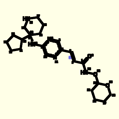 O=C(/C=C/c1cnc(N[C@@]2(C3CCCC3)CCCNC2)cn1)NOC1CCCCO1